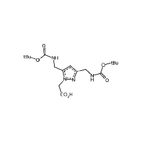 CC(C)(C)OC(=O)NCc1cc(CNC(=O)OC(C)(C)C)n(CC(=O)O)n1